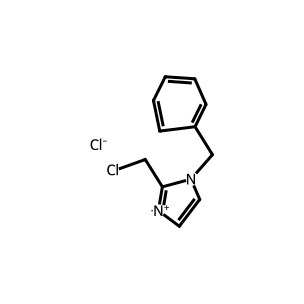 ClCC1=[N+]C=CN1Cc1ccccc1.[Cl-]